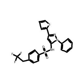 O=S(=O)(Nc1cc(-c2cccs2)nn1-c1ccccc1)c1ccc(CC(F)(F)F)cc1